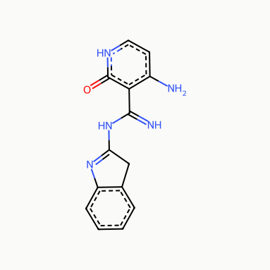 N=C(NC1=Nc2ccccc2C1)c1c(N)cc[nH]c1=O